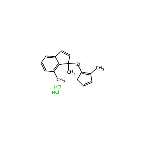 CC1=[C]([Zr][C]2(C)C=Cc3cccc(C)c32)CC=C1.Cl.Cl